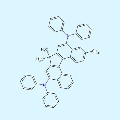 Cc1ccc2c3c(cc(N(c4ccccc4)c4ccccc4)c2c1)C(C)(C)c1cc(N(c2ccccc2)c2ccccc2)c2ccccc2c1-3